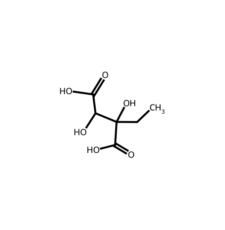 CCC(O)(C(=O)O)C(O)C(=O)O